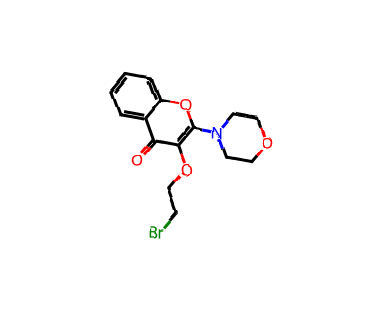 O=c1c(OCCBr)c(N2CCOCC2)oc2ccccc12